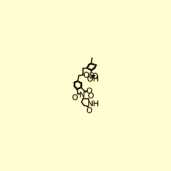 Cc1ccc(S(=O)(=O)O)c(CCCc2ccc3c(c2)C(=O)N(C2CCC(=O)NC2=O)C3=O)c1